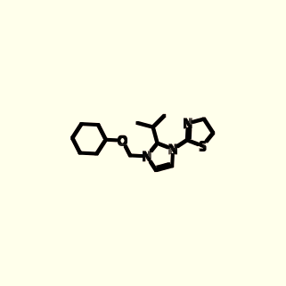 CC(C)C1N(COC2CCCCC2)C=CN1C1=NCCS1